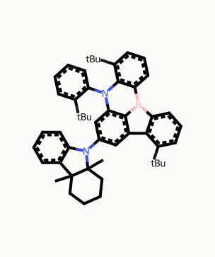 CC(C)(C)c1ccccc1N1c2cc(N3c4ccccc4C4(C)CCCCC34C)cc3c2B(c2cccc(C(C)(C)C)c2-3)c2cccc(C(C)(C)C)c21